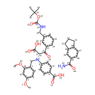 COc1ccc(CN(c2ccc(C(=O)O)cc2)[C@H](C(=O)O)C(=O)c2cccc(CNC(=O)OC(C)(C)C)c2)c(OC)c1.NC(=O)c1ccc2c(c1)CCC2